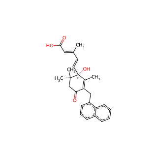 CC(C=C[C@@]1(O)C(C)=C(Cc2cccc3ccccc23)C(=O)CC1(C)C)=CC(=O)O